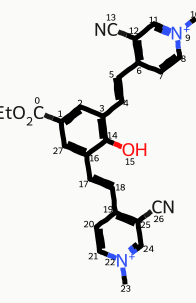 CCOC(=O)c1cc(/C=C/c2cc[n+](C)cc2C#N)c(O)c(/C=C/c2cc[n+](C)cc2C#N)c1